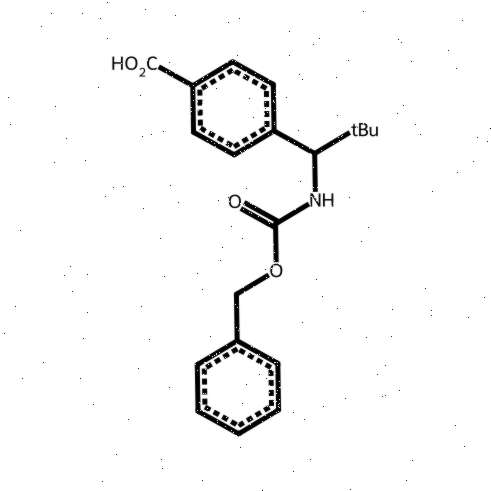 CC(C)(C)C(NC(=O)OCc1ccccc1)c1ccc(C(=O)O)cc1